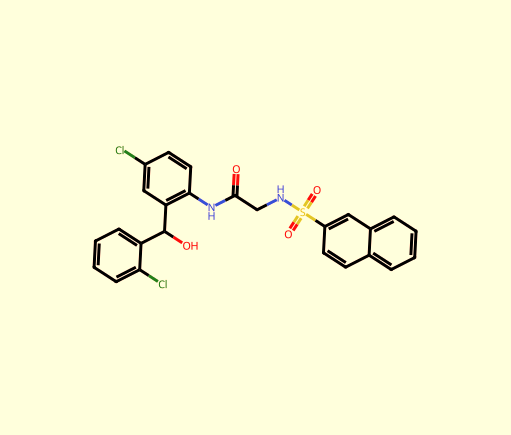 O=C(CNS(=O)(=O)c1ccc2ccccc2c1)Nc1ccc(Cl)cc1C(O)c1ccccc1Cl